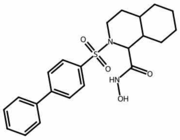 O=C(NO)C1C2CCCCC2CCN1S(=O)(=O)c1ccc(-c2ccccc2)cc1